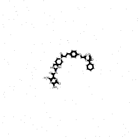 Nc1nc(N)c(C(=O)/N=C2\NCC3(CCN(C(=O)CCc4ccc(OCC(=O)OC5(C6CCCCC6)OC5=O)cc4)CC3)N2)nc1Cl